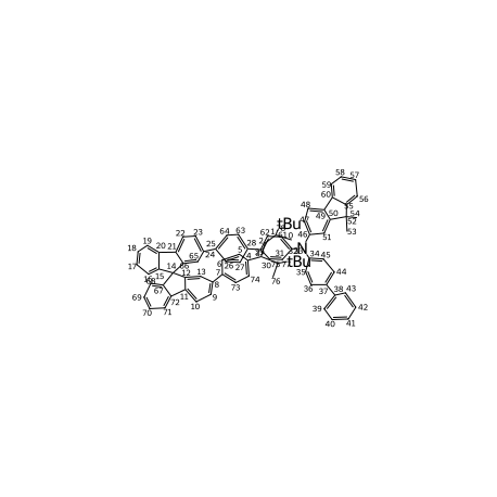 CC(CC(c1ccc(-c2ccc3c(c2)C2(c4ccccc4-c4ccc(-c5ccc(-c6ccc(N(c7ccc(-c8ccccc8)cc7)c7ccc8c(c7)C(C)(C)c7ccccc7-8)cc6)cc5)cc42)c2ccccc2-3)cc1)C(C)C(C)(C)C)C(C)(C)C